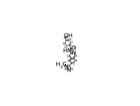 Cn1cncc1-c1ccc2cnc(NC(=O)C3CCC(CO)CC3)cc2c1